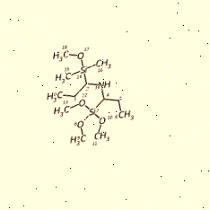 CCC(NC(CC)[Si](OC)(OC)OC)[Si](C)(C)OC